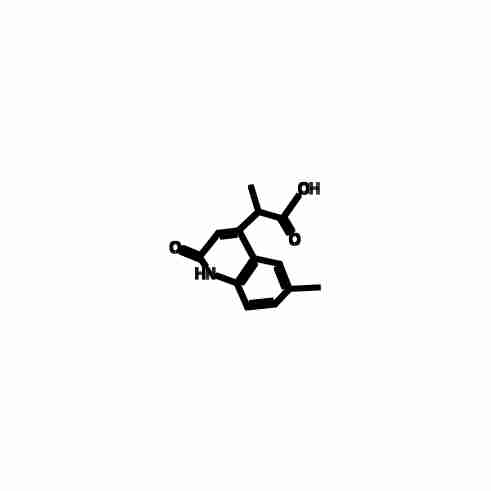 Cc1ccc2[nH]c(=O)cc(C(C)C(=O)O)c2c1